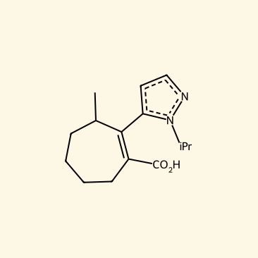 CC1CCCCC(C(=O)O)=C1c1ccnn1C(C)C